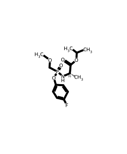 COCP(=O)(N[C@@H](C)C(=O)OC(C)C)Oc1ccc(F)cc1